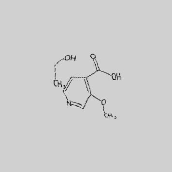 CCO.COc1cnccc1C(=O)O